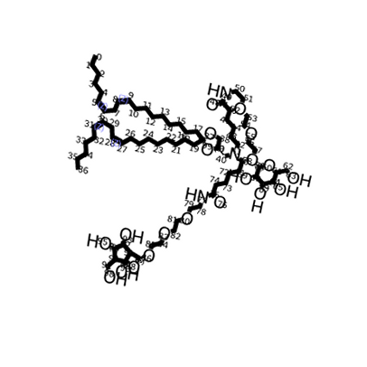 CCCCC/C=C\C/C=C\CCCCCCCCC1(CCCCCCCC/C=C\C/C=C\CCCCC)OC[C@H](CN(CCCCCC(=O)NCCOCCOCCO[C@H]2OC(CO)[C@@H](O)C(O)C2O)CCCCCC(=O)NCCOCCOCCO[C@H]2OC3(O)C2C(O)[C@H](O)C3CO)O1